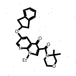 CCn1cc(C(=O)N2CCOCC2(C)C)c(=O)c2cc(OC3Cc4ccccc4C3)cnc21